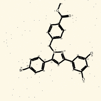 COC(=O)c1ccc(Cn2nc(-c3cc(Cl)cc(Cl)c3)cc2-c2ccc(Br)cc2)cc1